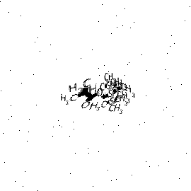 C=C(C)C(=O)OC[Si]([Si](C)(C)C)([Si](C)(C)C)[Si](C)(C)C